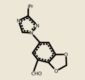 CC(C)c1ncn(-c2cc(C=O)c3c(c2)OCO3)n1